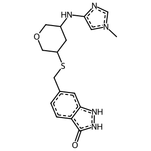 Cn1cnc(NC2COCC(SCc3ccc4c(=O)[nH][nH]c4c3)C2)c1